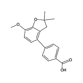 COc1ccc(-c2ccc(C(=O)O)cc2)c2c1OC(C)(C)C2